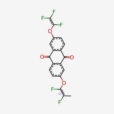 C/C(F)=C(/F)Oc1ccc2c(c1)C(=O)c1ccc(OC(F)=C(F)F)cc1C2=O